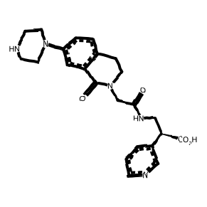 O=C(CN1CCc2ccc(N3CCNCC3)cc2C1=O)NC[C@@H](C(=O)O)c1cccnc1